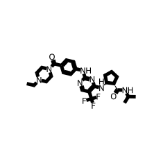 CCN1CCN(C(=O)c2ccc(Nc3ncc(C(F)(F)F)c(N[C@@H]4CCC[C@@H]4C(=O)NC(C)C)n3)cc2)CC1